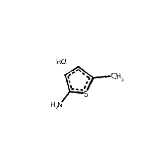 Cc1ccc(N)s1.Cl